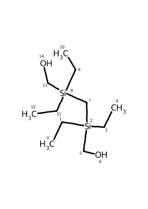 CC[Si](CC)(CO)C[Si](CC)(CC)CO